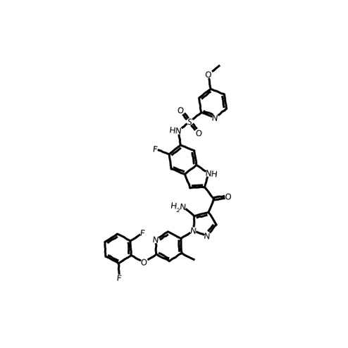 COc1ccnc(S(=O)(=O)Nc2cc3[nH]c(C(=O)c4cnn(-c5cnc(Oc6c(F)cccc6F)cc5C)c4N)cc3cc2F)c1